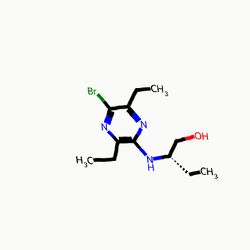 CCc1nc(N[C@@H](CC)CO)c(CC)nc1Br